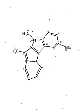 CC1=C2C=CC=CC2c2c1n(C)c1ccc(C(C)(C)C)cc21